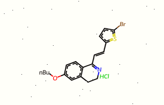 CCCCOc1ccc2c(c1)CCN=C2C=Cc1ccc(Br)s1.Cl